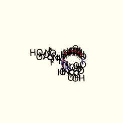 C=C1C(C(=O)O)=CN(C2CC2)c2c1cc(F)c(N1CCC(N3CCN(/N=C/c4c5c(O)c6c(O)c(C)c7c(c6c4O)C(=O)[C@@](C)(O/C=C/[C@H](OC)[C@@H](C)[C@@H](OC(C)=O)[C@H](C)[C@H](O)[C@H](C)[C@@H](O)[C@@H](C)/C=C/C=C(/C)C(=O)N5)O7)CC3)C1)c2OC